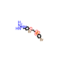 N=C(N)NCc1ccc(OCCCOS(=O)(=O)c2ccc(Br)cc2)c(Br)c1